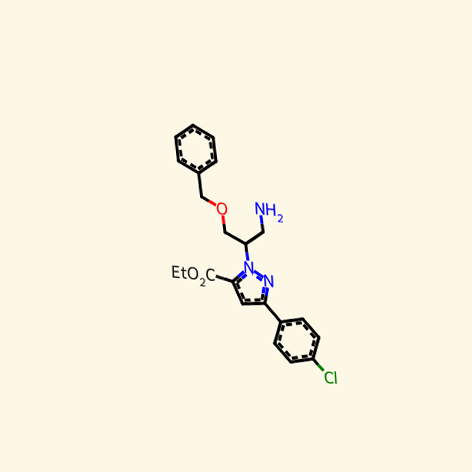 CCOC(=O)c1cc(-c2ccc(Cl)cc2)nn1C(CN)COCc1ccccc1